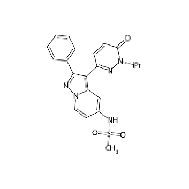 CC(C)n1nc(-c2c(-c3ccccc3)nn3ccc(NS(C)(=O)=O)cc23)ccc1=O